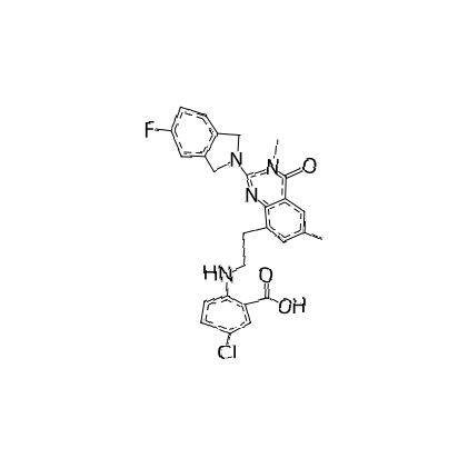 Cc1cc(CCNc2ccc(Cl)cc2C(=O)O)c2nc(N3Cc4ccc(F)cc4C3)n(C)c(=O)c2c1